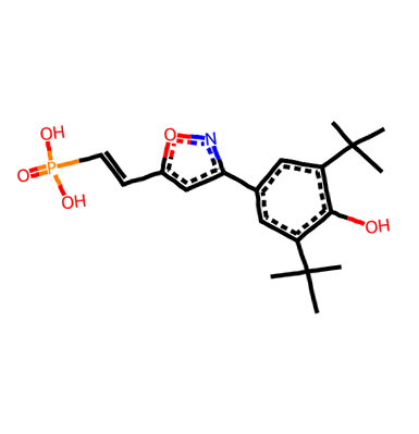 CC(C)(C)c1cc(-c2cc(C=CP(=O)(O)O)on2)cc(C(C)(C)C)c1O